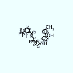 Cc1cnc(C2(O)CCC(NC3CCN(C(=O)CNC(=O)c4cccc(C(F)(F)F)c4)C3)CC2)s1